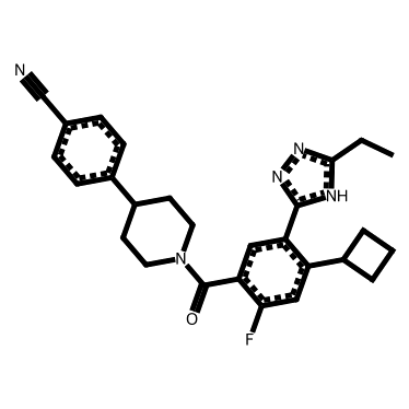 CCc1nnc(-c2cc(C(=O)N3CCC(c4ccc(C#N)cc4)CC3)c(F)cc2C2CCC2)[nH]1